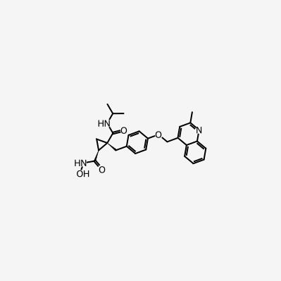 Cc1cc(COc2ccc(C[C@]3(C(=O)NC(C)C)C[C@@H]3C(=O)NO)cc2)c2ccccc2n1